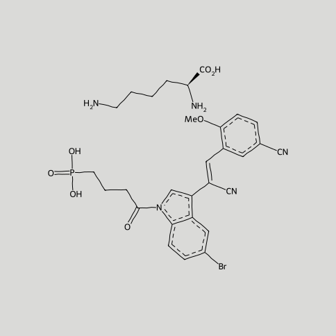 COc1ccc(C#N)cc1/C=C(\C#N)c1cn(C(=O)CCCP(=O)(O)O)c2ccc(Br)cc12.NCCCC[C@H](N)C(=O)O